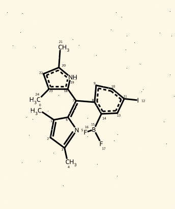 CC1=CC(C)=NC1=C(c1ccc(I)cc1B(F)F)c1[nH]c(C)cc1C